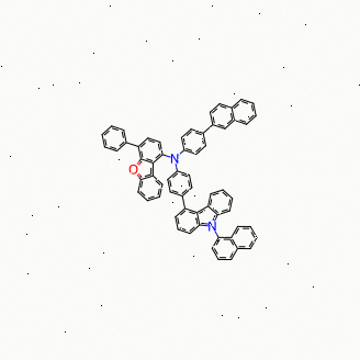 c1ccc(-c2ccc(N(c3ccc(-c4ccc5ccccc5c4)cc3)c3ccc(-c4cccc5c4c4ccccc4n5-c4cccc5ccccc45)cc3)c3c2oc2ccccc23)cc1